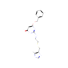 Cc1[nH]cnc1CSCCNc1nc(OCc2ccccc2)cc(=O)[nH]1